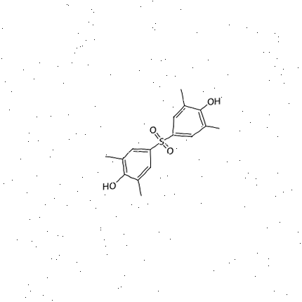 Cc1cc(S(=O)(=O)c2cc(C)c(O)c(C)c2)cc(C)c1O